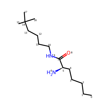 CCCCC[C@@H](N)C(=O)NCCCCC(C)(C)C